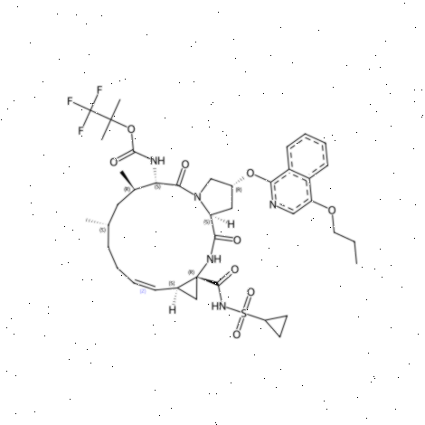 CCCOc1cnc(O[C@@H]2C[C@H]3C(=O)N[C@]4(C(=O)NS(=O)(=O)C5CC5)C[C@H]4/C=C\CC[C@H](C)C[C@@H](C)[C@H](NC(=O)OC(C)(C)C(F)(F)F)C(=O)N3C2)c2ccccc12